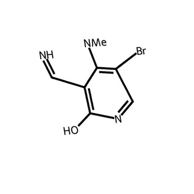 CNc1c(Br)cnc(O)c1C=N